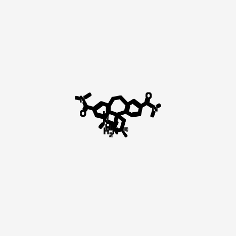 CNC(=N)C1(C[C@@H](C)N)c2ccc(C(=O)N(C)C)cc2CCc2cc(C(=O)N(C)C)ccc21